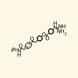 CC(C)NC(=O)CN1CCN(C(=O)Cc2ccc(OC(=O)c3ccc(NC(=N)N)cc3)cc2)CC1